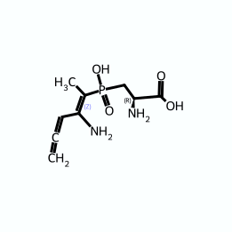 C=C=C/C(N)=C(\C)P(=O)(O)C[C@H](N)C(=O)O